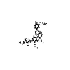 COc1cc(N2CCN3[C@@H](CCC[C@@H]3c3ccc(OCC(=O)N(C)C)c(C)c3C)C2)ccc1F